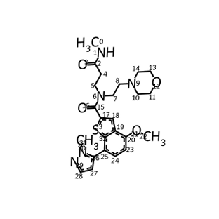 CNC(=O)CCN(CCN1CCOCC1)C(=O)c1cc2c(OC)ccc(-c3ccnn3C)c2s1